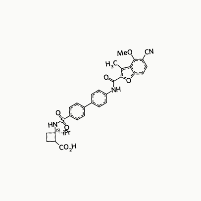 COc1c(C#N)ccc2oc(C(=O)Nc3ccc(-c4ccc(S(=O)(=O)N[C@]5(C(C)C)CCC5C(=O)O)cc4)cc3)c(C)c12